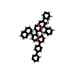 c1ccc(-c2ccc(-c3ccc(N(c4ccccc4-c4ccccc4-c4cccc5ccccc45)c4ccccc4-c4cccc5c4sc4ccccc45)cc3)cc2)cc1